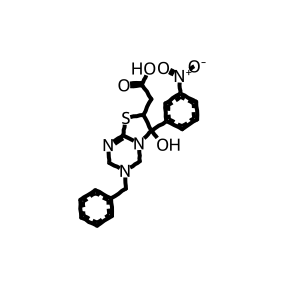 O=C(O)CC1SC2=NCN(Cc3ccccc3)CN2C1(O)c1cccc([N+](=O)[O-])c1